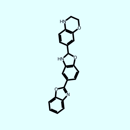 c1ccc2oc(-c3ccc4c(c3)NC(c3ccc5c(c3)OCCN5)O4)nc2c1